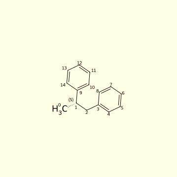 C[C@@H](Cc1ccccc1)c1ccccc1